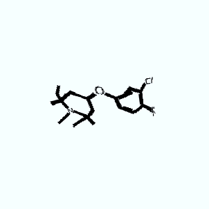 CN1C(C)(C)CC(Oc2ccc(F)c(Cl)c2)CC1(C)C